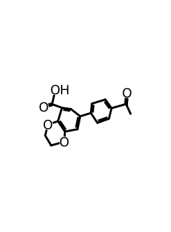 CC(=O)c1ccc(-c2cc3c(c(C(=O)O)c2)OCCO3)cc1